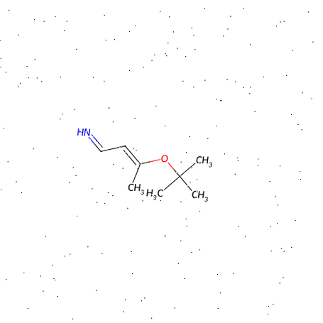 C/C(=C\C=N)OC(C)(C)C